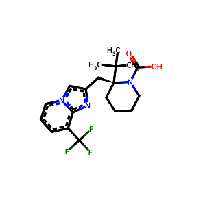 CC(C)(C)[C@@]1(Cc2cn3cccc(C(F)(F)F)c3n2)CCCCN1C(=O)O